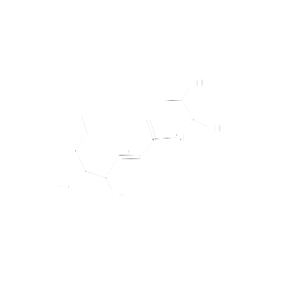 C/C=C/C(C)C(C)/C=C/C(=O)NC(C)C(C)O